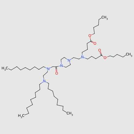 CCCCCCCCCN(CCCCCCCCC)CCN(CCCCCCCCC)CC(=O)N1CCN(CCN(CCCC(=O)OCCCCC)CCCC(=O)OCCCCC)CC1